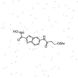 COCCC(=O)Nc1ccc2sc(C(=O)NO)cc2c1